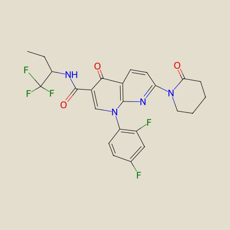 CCC(NC(=O)c1cn(-c2ccc(F)cc2F)c2nc(N3CCCCC3=O)ccc2c1=O)C(F)(F)F